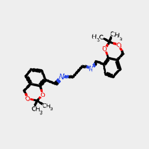 CC1(C)OCc2cccc(/C=N/CC/N=C/c3cccc4c3OC(C)(C)OC4)c2O1